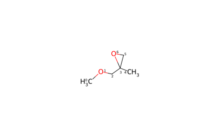 COCC1(C)CO1